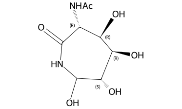 CC(=O)N[C@H]1C(=O)NC(O)[C@@H](O)[C@H](O)[C@@H]1O